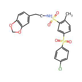 Cc1ccc(S(=O)(=O)c2ccc(Cl)cc2)cc1S(=O)(=O)NCCc1ccc2c(c1)OCO2